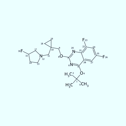 CC(C)(C)Oc1nc(OCC2(CN3CCC(F)C3)CC2)nc2c(F)cc(F)cc12